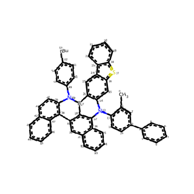 Cc1cc(-c2ccccc2)ccc1N1c2cc3sc4ccccc4c3cc2B2c3c(cc4ccccc4c31)-c1c(ccc3ccccc13)N2c1ccc(C(C)(C)C)cc1